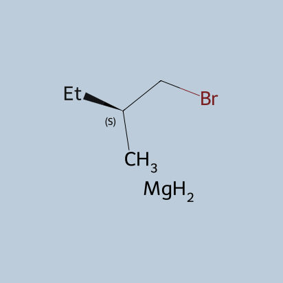 CC[C@H](C)CBr.[MgH2]